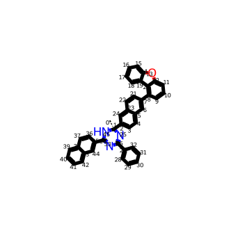 C[C@]1(c2ccc3cc(-c4cccc5oc6ccccc6c45)ccc3c2)N=C(c2ccccc2)N=C(c2ccc3ccccc3c2)N1